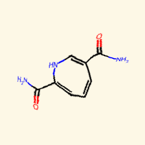 NC(=O)C1=CNC(C(N)=O)=CC=C1